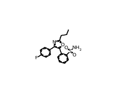 CCCc1nc(-c2ccc(F)cc2)c(-c2ccccc2S(N)(=O)=O)o1